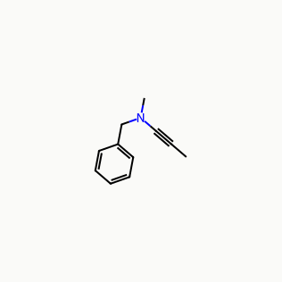 CC#CN(C)Cc1ccccc1